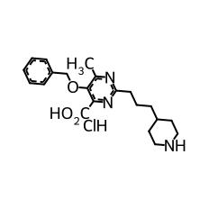 Cc1nc(CCCC2CCNCC2)nc(C(=O)O)c1OCc1ccccc1.Cl